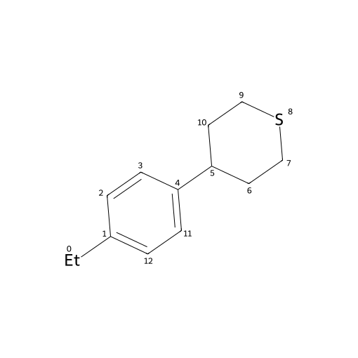 CCc1ccc(C2CCSCC2)cc1